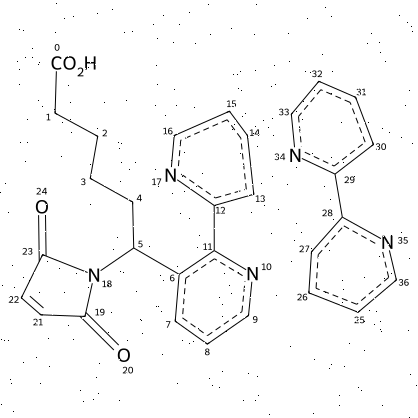 O=C(O)CCCCC(c1cccnc1-c1ccccn1)N1C(=O)C=CC1=O.c1ccc(-c2ccccn2)nc1